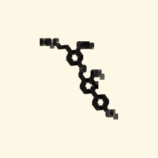 COc1cc(OCc2ccc(-c3ccc(C(F)(F)F)cc3)nc2C)ccc1CCC(=O)O